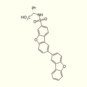 CC(C)[C@H](NS(=O)(=O)c1ccc2c(c1)oc1ccc(-c3ccc4oc5ccccc5c4c3)cc12)C(=O)O